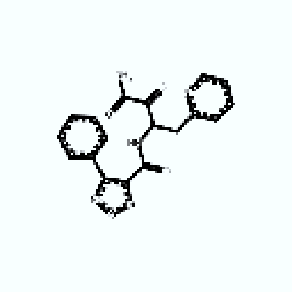 NC(=O)C(=O)C(Cc1ccccn1)NC(=O)c1nsnc1-c1ccccc1